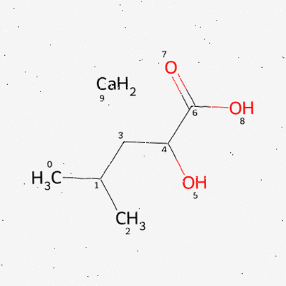 CC(C)CC(O)C(=O)O.[CaH2]